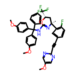 COc1ccc(C(NC2=N[C@](C)(c3cc(C#Cc4ncc(OC)cn4)ccc3F)C[C@@H](C(F)(F)F)O2)(c2ccccc2)c2ccc(OC)cc2)cc1